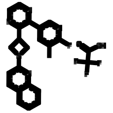 Cc1cc(-c2nccnc2C2CN(c3ccc4ccccc4n3)C2)cnc1F.O=C(O)C(F)(F)F